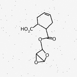 O=C(O)C1CC=CCC1C(=O)OC1OC2OC12